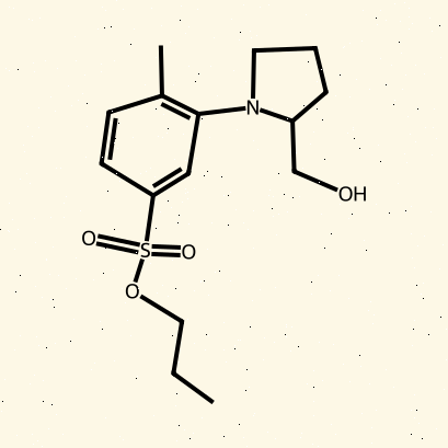 CCCOS(=O)(=O)c1ccc(C)c(N2CCCC2CO)c1